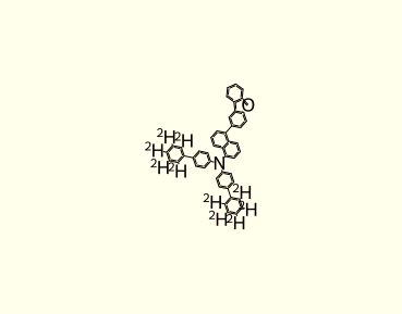 [2H]c1c([2H])c([2H])c(-c2ccc(N(c3ccc(-c4c([2H])c([2H])c([2H])c([2H])c4[2H])cc3)c3cccc4c(-c5ccc6oc7ccccc7c6c5)cccc34)cc2)c([2H])c1[2H]